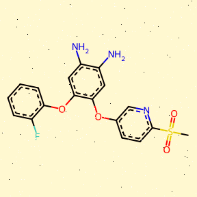 CS(=O)(=O)c1ccc(Oc2cc(N)c(N)cc2Oc2ccccc2F)cn1